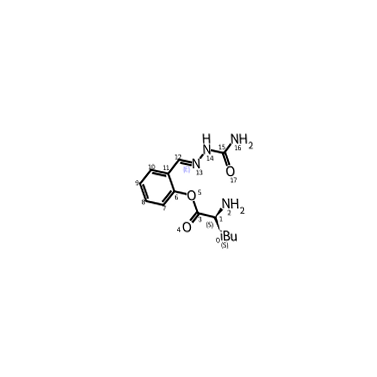 CC[C@H](C)[C@H](N)C(=O)Oc1ccccc1/C=N/NC(N)=O